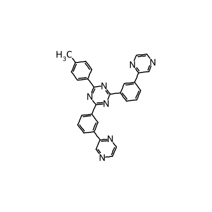 Cc1ccc(-c2nc(-c3cccc(-c4cnccn4)c3)nc(-c3cccc(-c4cnccn4)c3)n2)cc1